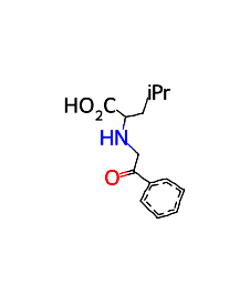 CC(C)CC(NCC(=O)c1ccccc1)C(=O)O